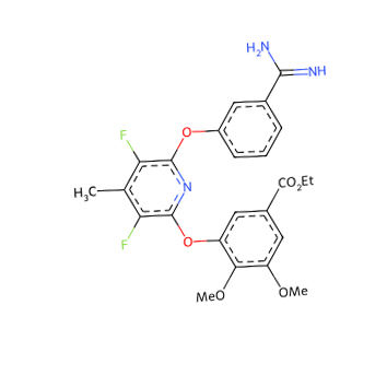 CCOC(=O)c1cc(OC)c(OC)c(Oc2nc(Oc3cccc(C(=N)N)c3)c(F)c(C)c2F)c1